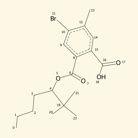 CCCCC(OC(=O)c1cc(Br)c(C)cc1C(=O)O)C(C)(C)C